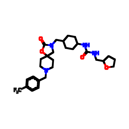 O=C(NCC1CCCO1)NC1CCC(CN2CC3(CCN(Cc4ccc(C(F)(F)F)cc4)CC3)OC2=O)CC1